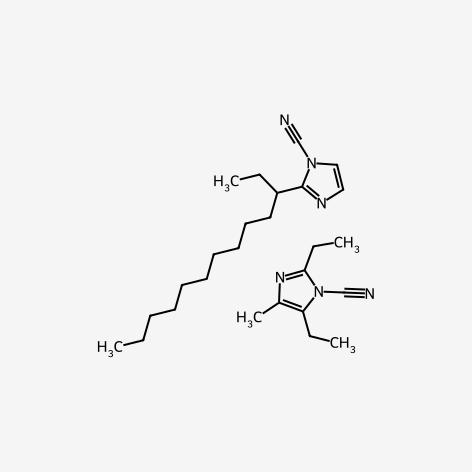 CCCCCCCCCCC(CC)c1nccn1C#N.CCc1nc(C)c(CC)n1C#N